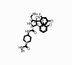 CC(C)NC(=O)N1CCC(NC(=O)[C@@H]2N[C@@H](CC(C)(C)C)[C@](C#N)(c3ccc(Cl)cc3F)[C@H]2c2cccc(Cl)c2F)CC1